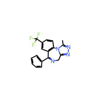 Cc1nnc2n1-c1ccc(C(F)(F)F)cc1C(c1ccccc1)=NC2